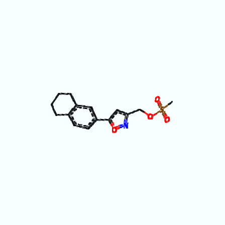 CS(=O)(=O)OCc1cc(-c2ccc3c(c2)CCCC3)on1